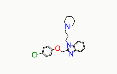 Clc1ccc(OCc2nc3ccccc3n2CCCN2CCCCC2)cc1